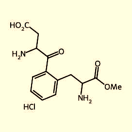 COC(=O)C(N)Cc1ccccc1C(=O)C(N)CC(=O)O.Cl